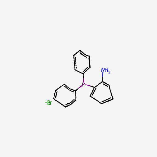 Br.Nc1ccccc1P(c1ccccc1)c1ccccc1